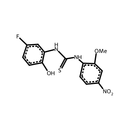 COc1cc([N+](=O)[O-])ccc1NC(=S)Nc1cc(F)ccc1O